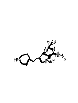 CCCCc1nc(N)c2[nH]cc(CCC3CCNCC3)c2n1